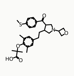 CSc1ccc(C(=O)C2CN(C3COC3)CC2CCc2cc(C)c(OC(C)(C)C(=O)O)c(C)c2)cc1